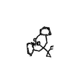 OC(Cc1ncc[nH]1)(Cc1ccccc1Cl)C1(Cl)CC1